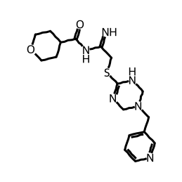 N=C(CSC1=NCN(Cc2cccnc2)CN1)NC(=O)C1CCOCC1